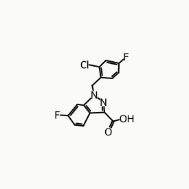 O=C(O)c1nn(Cc2ccc(F)cc2Cl)c2cc(F)ccc12